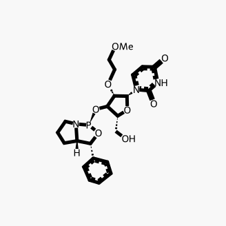 COCCO[C@H]1C(O[P@@]2O[C@H](c3ccccc3)[C@@H]3CCCN32)[C@@H](CO)O[C@H]1n1ccc(=O)[nH]c1=O